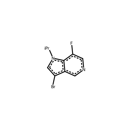 CC(C)n1cc(Br)c2cncc(F)c21